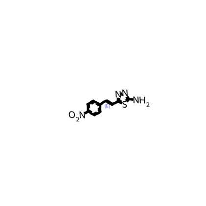 Nc1nnc(/C=C/c2ccc([N+](=O)[O-])cc2)s1